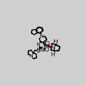 CC(C)(C)OC(=O)N1[C@@H]2CC[C@H]1CN(c1nc(OCC34CCCN3CCC4)nc3c1CCN(c1cccc4c1CCC4)C3)C2